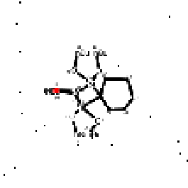 CCCCO[Si](OCCCC)(OCCCC)C1([Si](OCCCC)(OCCCC)OCCCC)CCCCC1